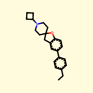 CCc1ccc(-c2ccc3c(c2)CC2(CCN(C4CCC4)CC2)O3)cc1